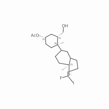 CC(=O)O[C@H]1CC[C@](C)(C2CC[C@]3(C)/C(=C(\F)I)CCC3C2)[C@@H](CO)C1